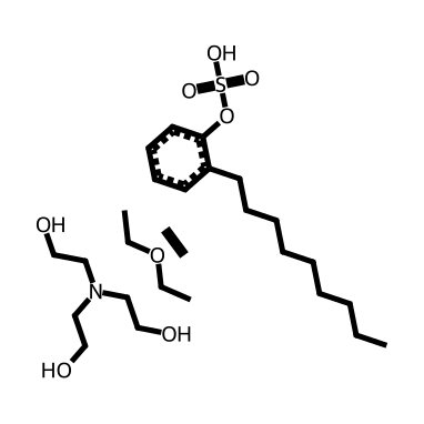 C=C.CCCCCCCCCc1ccccc1OS(=O)(=O)O.CCOCC.OCCN(CCO)CCO